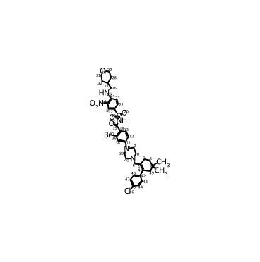 CC1(C)CCC(CN2CCN(c3ccc(C(=O)NS(=O)(=O)c4ccc(NCC5CCOCC5)c([N+](=O)[O-])c4)c(Br)c3)CC2)=C(c2ccc(Cl)cc2)C1